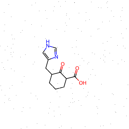 O=C(O)C1CCCC(Cc2c[nH]cn2)C1=O